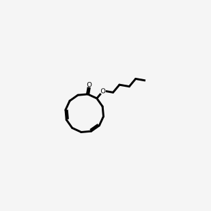 CCCCCOC1CC/C=C\CC/C=C\CCC1=O